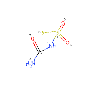 NC(=O)NS(=O)(=O)[S]